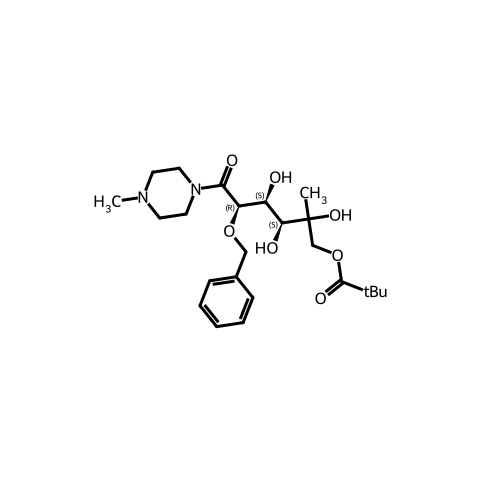 CN1CCN(C(=O)[C@H](OCc2ccccc2)[C@@H](O)[C@H](O)C(C)(O)COC(=O)C(C)(C)C)CC1